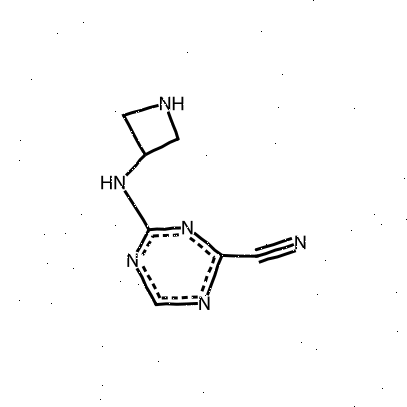 N#Cc1ncnc(NC2CNC2)n1